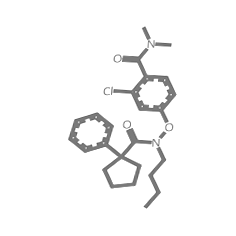 CCCCN(Oc1ccc(C(=O)N(C)C)c(Cl)c1)C(=O)C1(c2ccccc2)CCCC1